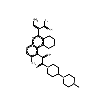 CN1CCN(C2CCN(C(=O)C(=N)c3c(N)ccc4nc(/C(=C/N)C(=N)C(F)(F)F)c5c(c34)CCCC5)CC2)CC1